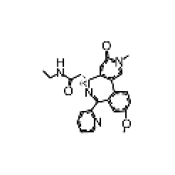 CCNC(=O)C[C@H]1N=C(c2ccccn2)c2cc(OC)ccc2-c2cn(C)c(=O)cc21